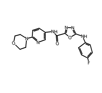 O=C(Nc1ccc(N2CCOCC2)nc1)c1nnc(Nc2ccc(F)cc2)o1